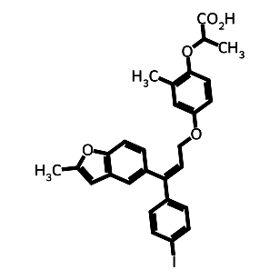 Cc1cc2cc(/C(=C\COc3ccc(OC(C)C(=O)O)c(C)c3)c3ccc(I)cc3)ccc2o1